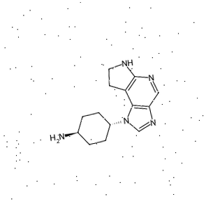 N[C@H]1CC[C@H](n2cnc3cnc4c(c32)CCN4)CC1